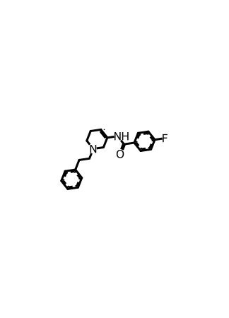 O=C(NC1=[C]CCN(CCc2ccccc2)C1)c1ccc(F)cc1